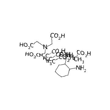 CC(=O)O.CC(=O)O.CC(=O)O.CC(=O)O.NC1CCCCC1N.O=C(O)CN(CC(=O)O)CC(=O)O